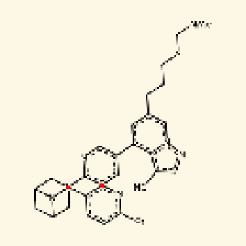 CCc1ccc(CN2C3CC2CN(c2ccc(-c4cc(CCCSCNC)cn5ncc(C#N)c45)cn2)C3)cn1